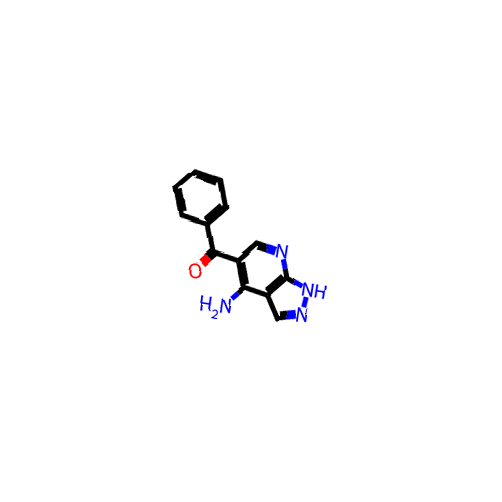 Nc1c(C(=O)c2ccccc2)cnc2[nH]ncc12